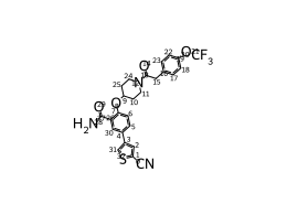 N#Cc1cc(-c2ccc(OC3CCN(C(=O)Cc4ccc(OC(F)(F)F)cc4)CC3)c(C(N)=O)c2)cs1